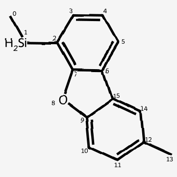 C[SiH2]c1cccc2c1oc1ccc(C)cc12